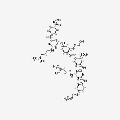 CN(C)CCCNc1nc(Nc2ccc(S(N)(=O)=O)cc2)nc(Nc2ccc(/C=C/c3ccc(Nc4nc(NCCCN(C)C)nc(Nc5ccc(SOON)cc5)n4)cc3S(=O)(=O)O)c(SOOO)c2)n1